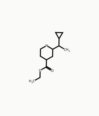 CCOC(=O)C1CC[N]C(C(C)C2CC2)C1